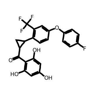 O=C(c1c(O)cc(O)cc1O)C1CC1c1ccc(Oc2ccc(F)cc2)cc1C(F)(F)F